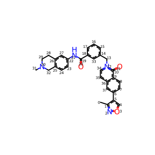 Cc1nocc1-c1ccc2c(=O)n(Cc3cccc(C(=O)Nc4ccc5c(c4)CCN(C)C5)c3)ccc2c1